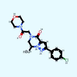 CCCCC1CN(CC(=O)N2CCOCC2)C(=O)c2cc(-c3ccc(Cl)cc3)nn21